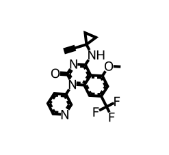 C#CC1(Nc2nc(=O)n(-c3cccnc3)c3cc(C(F)(F)F)cc(OC)c23)CC1